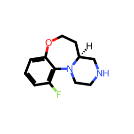 Fc1cccc2c1N1CCNC[C@@H]1CCO2